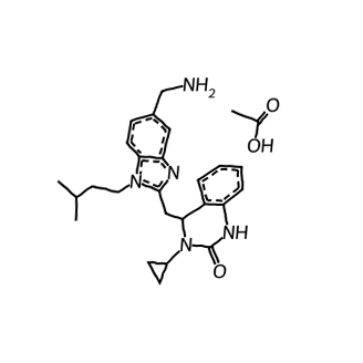 CC(=O)O.CC(C)CCn1c(CC2c3ccccc3NC(=O)N2C2CC2)nc2cc(CN)ccc21